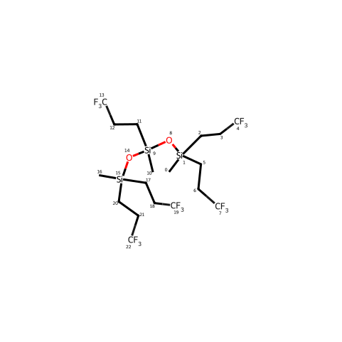 C[Si](CCC(F)(F)F)(CCC(F)(F)F)O[Si](C)(CCC(F)(F)F)O[Si](C)(CCC(F)(F)F)CCC(F)(F)F